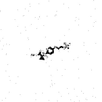 COC(=O)C1(S(=O)(=O)c2ccc(OCCOS(C)(=O)=O)cn2)CC1